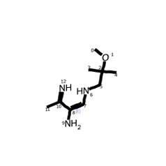 COC(C)(C)CN/C=C(/N)C(C)=N